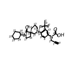 C#CCN(C(=O)O)c1ccc(N2CCC[C@]3(CCN(C4CCCCC4)C3=O)C2)c(C(F)(F)F)c1